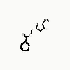 B[C@@H]1O[C@@H](COC(=O)c2ccccc2)C[C@H]1F